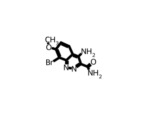 COc1ccc2c(N)c(C(N)=O)nnc2c1Br